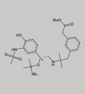 COC(=O)Cc1cccc(CC(C)(C)NC[C@H](O[Si](C)(C)C(C)(C)C)c2ccc(O)c(NS(C)(=O)=O)c2)c1